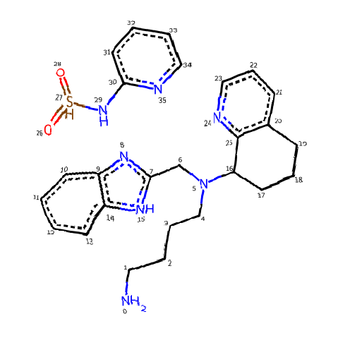 NCCCCN(Cc1nc2ccccc2[nH]1)C1CCCc2cccnc21.O=[SH](=O)Nc1ccccn1